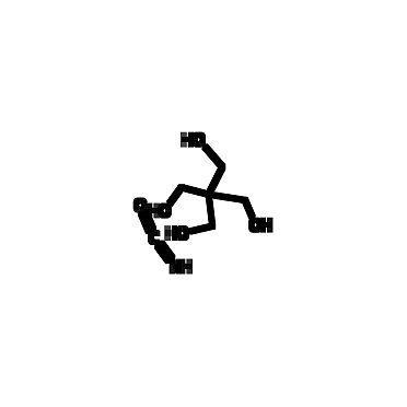 N=C=O.OCC(CO)(CO)CO